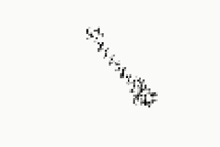 CCCCCCCCCCCCCCCCc1ccc[n+](C(CC)c2ccccc2)c1